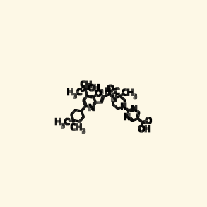 CC1(C)CCC(c2cc(C(C)(C)C)c3oc(C(=O)N4CCN(c5ncc(C(=O)O)cn5)CC4(C)C)cc3n2)CC1